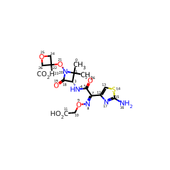 CC1(C)[C@H](NC(=O)/C(=N\OCC(=O)O)c2csc(N)n2)C(=O)N1OC1(C(=O)O)COC1